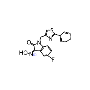 O=C1/C(=N\O)c2cc(F)ccc2N1Cc1csc(C2=CCCC=C2)n1